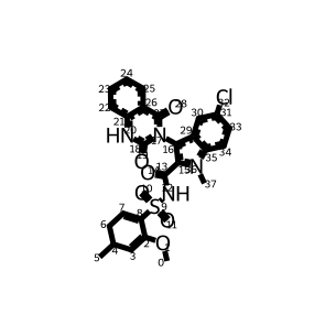 COC1=CC(C)CC=C1S(=O)(=O)NC(=O)c1c(-n2c(=O)[nH]c3ccccc3c2=O)c2cc(Cl)ccc2n1C